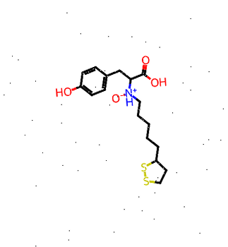 O=C(O)C(Cc1ccc(O)cc1)[NH+]([O-])CCCCCC1CCSS1